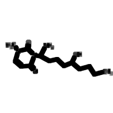 CCCCC(O)CCCC(N)n1c(=O)ccn(C)c1=O